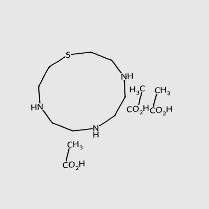 C1CNCCSCCNCCN1.CC(=O)O.CC(=O)O.CC(=O)O